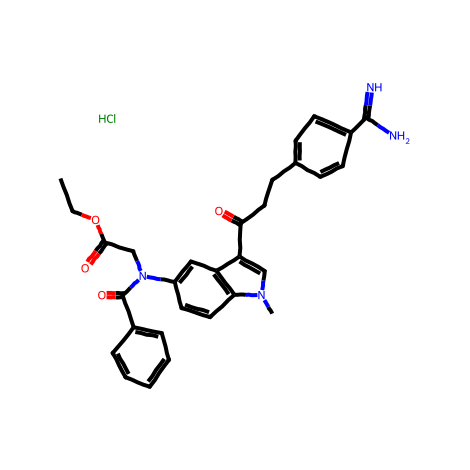 CCOC(=O)CN(C(=O)c1ccccc1)c1ccc2c(c1)c(C(=O)CCc1ccc(C(=N)N)cc1)cn2C.Cl